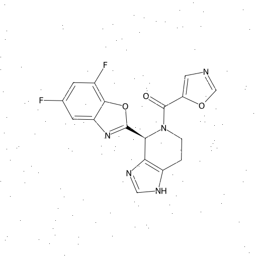 O=C(c1cnco1)N1CCc2[nH]cnc2[C@H]1c1nc2cc(F)cc(F)c2o1